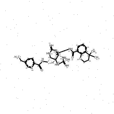 CCc1ccc(C(=O)NC[C@@H]2NC(=N)N3CC(NC(=O)c4cccc5c4OCCC5(C)C)[C@@H](O)[C@@]34NC(=N)N[C@@H]24)nc1